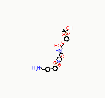 NCCc1ccc(-c2cccc(S(=O)(=O)N3CCC4(CC3)C[C@@H](NCC(O)COc3cccc(S(=O)(=O)C5(CO)CC5)c3)CO4)c2)cc1